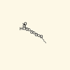 C=CC(=O)OCC(O)COc1ccc(COc2ccc(COc3ccc(OCCCCCCCC)cc3)cc2)cc1